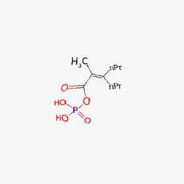 CCCC(CCC)=C(C)C(=O)OP(=O)(O)O